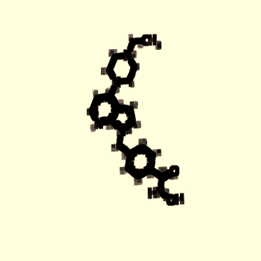 CCN1CCN(c2ccnc3c2ccn3Cc2ccc(C(=O)NO)cc2)CC1